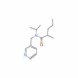 CCCC(C)C(=O)N(Cc1cccnc1)C(C)C